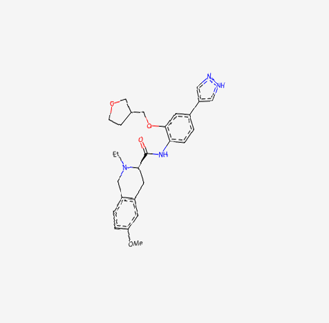 CCN1Cc2ccc(OC)cc2C[C@@H]1C(=O)Nc1ccc(-c2cn[nH]c2)cc1OCC1CCOC1